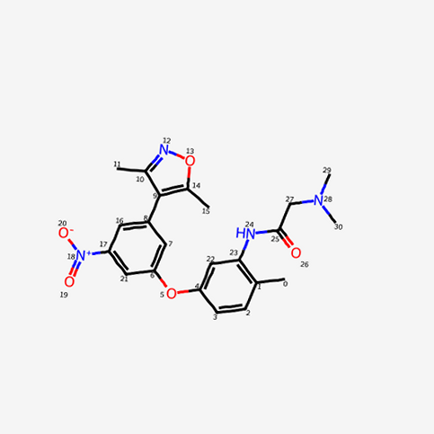 Cc1ccc(Oc2cc(-c3c(C)noc3C)cc([N+](=O)[O-])c2)cc1NC(=O)CN(C)C